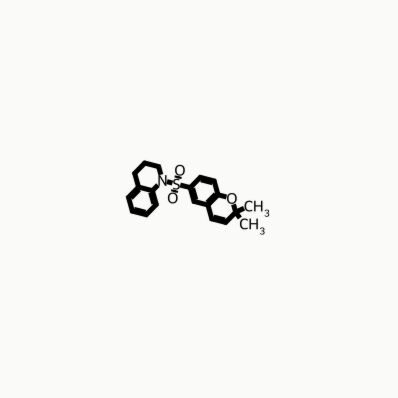 CC1(C)C=Cc2cc(S(=O)(=O)N3CCCc4ccccc43)ccc2O1